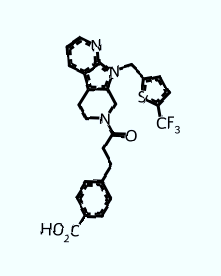 O=C(O)c1ccc(CCC(=O)N2CCc3c(n(Cc4ccc(C(F)(F)F)s4)c4ncccc34)C2)cc1